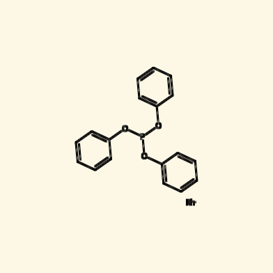 [Rh].c1ccc(OP(Oc2ccccc2)Oc2ccccc2)cc1